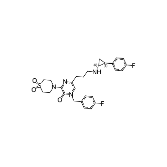 O=c1c(N2CCS(=O)(=O)CC2)nc(CCCN[C@@H]2C[C@H]2c2ccc(F)cc2)cn1Cc1ccc(F)cc1